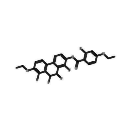 CCOc1ccc(C(=O)Oc2ccc3c(c2F)C(F)C(F)c2c-3ccc(OCC)c2F)c(F)c1